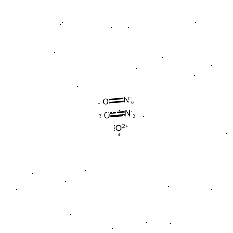 [N-]=O.[N-]=O.[O+2]